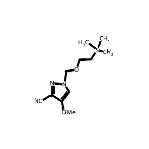 COc1cn(COCC[Si](C)(C)C)nc1C#N